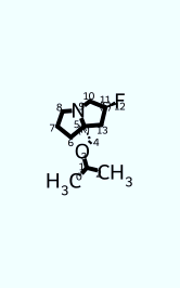 CC(C)OC[C@]12CCCN1C[C@@H](F)C2